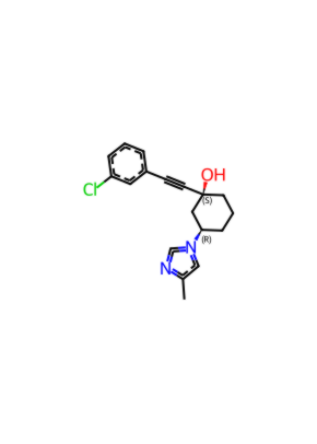 Cc1cn([C@@H]2CCC[C@@](O)(C#Cc3cccc(Cl)c3)C2)cn1